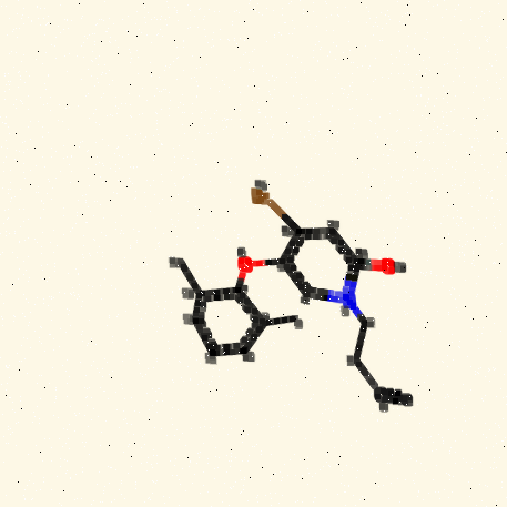 COCCn1cc(Oc2c(C)cccc2C)c(Br)cc1=O